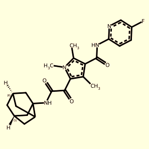 Cc1c(C(=O)Nc2ccc(F)cn2)c(C)n(C)c1C(=O)C(=O)NC12C[C@@H]3CC1C[C@@H](C3)C2